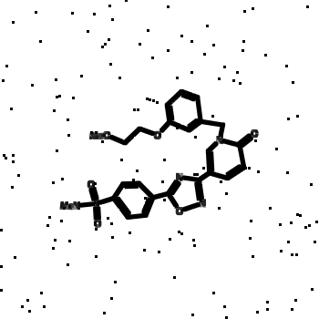 CNS(=O)(=O)c1ccc(-c2nc(-c3ccc(=O)n(Cc4cccc(OCCOC)c4)c3)no2)cc1